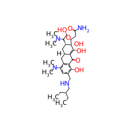 CCC(CC)CNCc1cc(N(C)C)c2c(c1O)C(=O)C1=C(O)[C@](O)(C(=O)CC(N)=O)[C@H](C(CO)N(C)C)C[C@@H]1C2